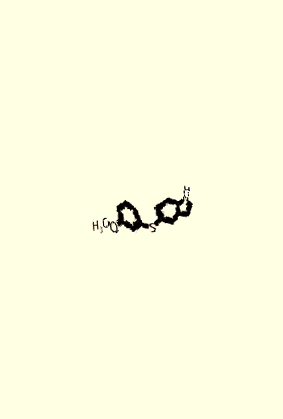 COc1cccc(Sc2ccc3[nH]ccc3c2)c1